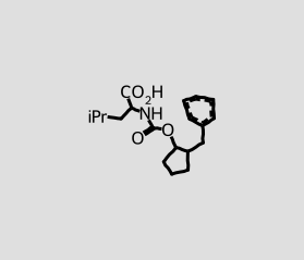 CC(C)CC(NC(=O)OC1CCCC1Cc1ccccc1)C(=O)O